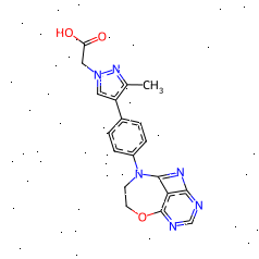 Cc1nn(CC(=O)O)cc1-c1ccc(N2CCOc3ncnc4c3C2=N4)cc1